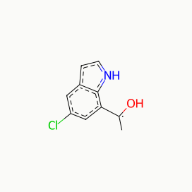 C[C](O)c1cc(Cl)cc2cc[nH]c12